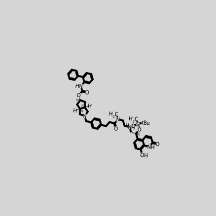 CN(CCNC[C@H](O[Si](C)(C)C(C)(C)C)c1ccc(O)c2[nH]c(=O)ccc12)C(=O)CCc1ccc(CN2C[C@H]3C[C@H](OC(=O)Nc4ccccc4-c4ccccc4)C[C@H]3C2)cc1